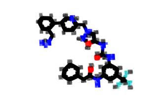 NCc1ccccc1-c1ccc(C[n+]2cc([N-]C(=O)Nc3cc(NC(=O)Cc4ccccc4)cc(C(F)(F)F)c3)on2)nc1